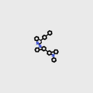 c1ccc(-c2ccc(C3CC(n4c5ccccc5c5cc(-c6ccc7c(c6)c6ccccc6n7-c6ccccc6)ccc54)=Nc4ccccc43)cc2)cc1